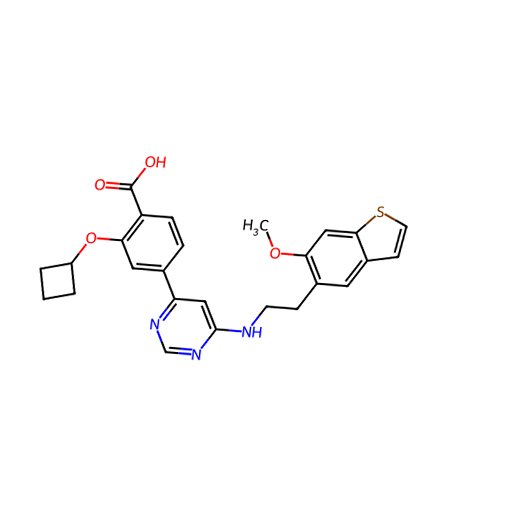 COc1cc2sccc2cc1CCNc1cc(-c2ccc(C(=O)O)c(OC3CCC3)c2)ncn1